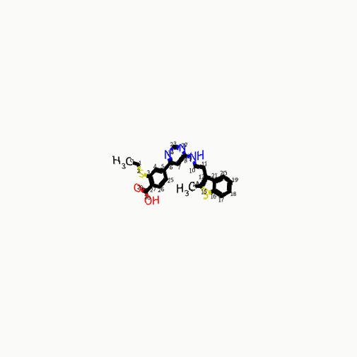 CCSc1cc(-c2cc(NCCc3c(C)sc4ccccc34)ncn2)ccc1C(=O)O